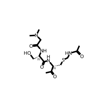 CC(=O)NCSC[C@@H](NC(=O)[C@H](CO)NC(=O)CN(C)C)C(C)=O